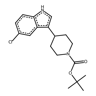 CC(C)(C)OC(=O)N1CCC(c2c[nH]c3ccc(Cl)cc23)CC1